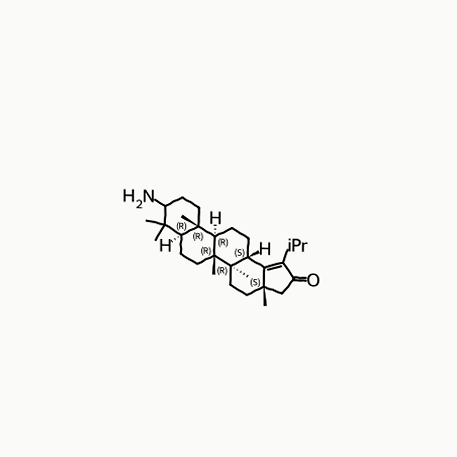 CC(C)C1=C2[C@H]3CC[C@@H]4[C@@]5(C)CCC(N)C(C)(C)[C@@H]5CC[C@@]4(C)[C@]3(C)CC[C@@]2(C)CC1=O